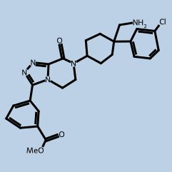 COC(=O)c1cccc(-c2nnc3n2CCN(C2CCC(CN)(c4cccc(Cl)c4)CC2)C3=O)c1